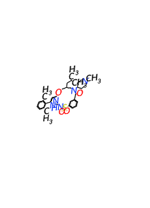 Cc1cccc(C)c1-c1cc2nc(n1)NS(=O)(=O)c1cccc(c1)C(=O)N(C1CCN(C)CC1)CC(CC(C)C)CO2